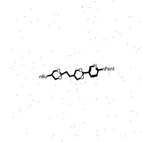 CCCCCc1ccc(C2OCC(CCC3OCC(CCCC)CO3)CO2)cn1